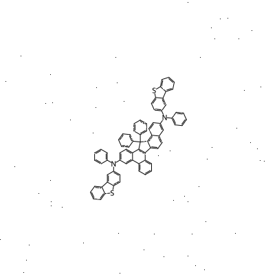 c1ccc(N(c2ccc3c4c(ccc3c2)-c2c(c3ccc(N(c5ccccc5)c5ccc6sc7ccccc7c6c5)cc3c3ccccc23)C4(c2ccccc2)c2ccccc2)c2ccc3sc4ccccc4c3c2)cc1